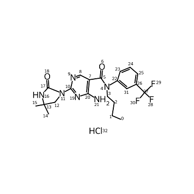 CCCCN(C(=O)c1cnc(N2CC(C)(C)NC2=O)nc1N)c1cccc(C(F)(F)F)c1.Cl